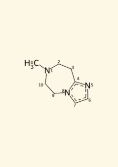 CN1CCc2nccn2CC1